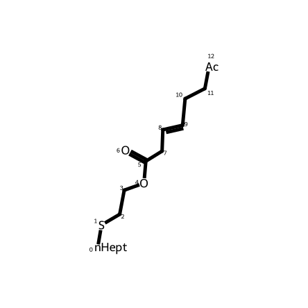 CCCCCCCSCCOC(=O)C/C=C/CCC(C)=O